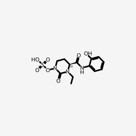 CCN1C(=O)N(OS(=O)(=O)O)CC[C@H]1C(=O)Nc1ccccc1O